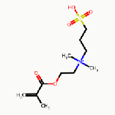 C=C(C)C(=O)OCC[N+](C)(C)CCCS(=O)(=O)O